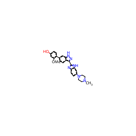 COc1cc(O)ccc1-c1ccc2c(-c3nc4ccc(N5CCN(C)CC5)cc4[nH]3)n[nH]c2c1